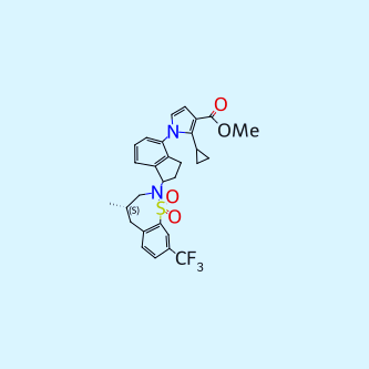 COC(=O)c1ccn(-c2cccc3c2CCC3N2C[C@@H](C)Cc3ccc(C(F)(F)F)cc3S2(=O)=O)c1C1CC1